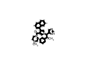 C[C@@H](c1ccccc1)C(c1cnc[nH]1)n1cc(C(=O)N2CCN(C)CC2)c(-c2cccc3ccccc23)c1